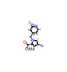 COC(=O)c1cc(I)cn1Cc1ccnc(F)c1